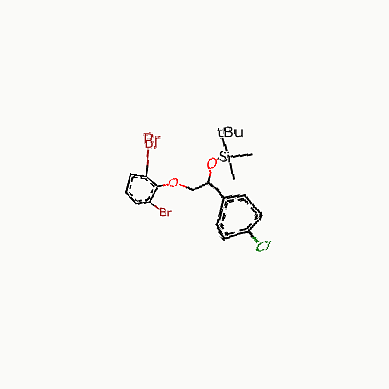 CC(C)(C)[Si](C)(C)OC(COc1c(Br)cccc1Br)c1ccc(Cl)cc1